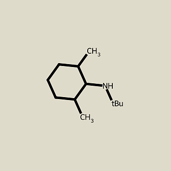 CC1CCCC(C)C1NC(C)(C)C